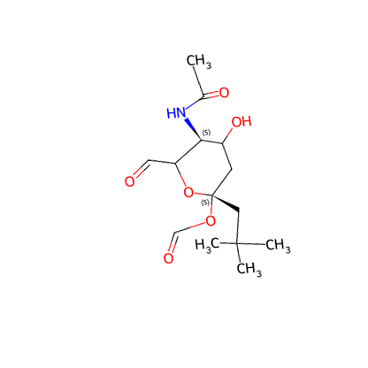 CC(=O)N[C@H]1C(O)C[C@](CC(C)(C)C)(OC=O)OC1C=O